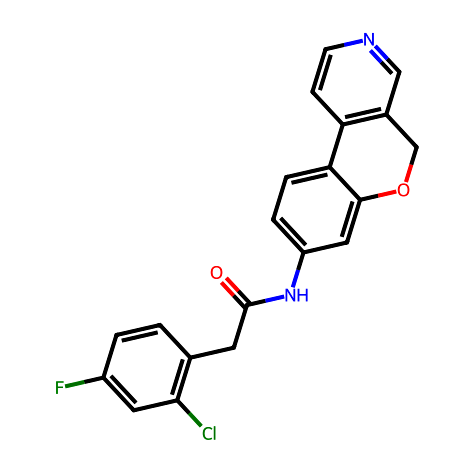 O=C(Cc1ccc(F)cc1Cl)Nc1ccc2c(c1)OCc1cnccc1-2